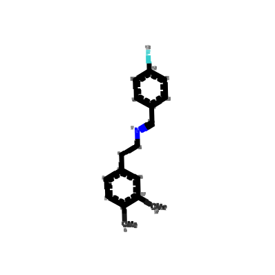 COc1ccc(CCN=Cc2ccc(F)cc2)cc1OC